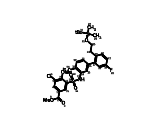 COC(=O)c1cc(Cl)c(OC)c(S(=O)(=O)Nc2cc(-c3cc(F)ccc3CCO[Si](C)(C)C(C)(C)C)ccc2C(F)(F)F)c1